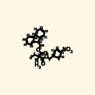 NC(CI)(C(=O)OCc1ccc([N+](=O)[O-])cc1)C(=O)OCC1c2ccccc2-c2ccccc21